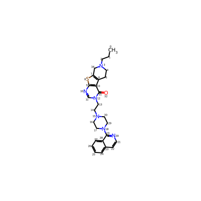 CCCN1CCc2c(sc3ncn(CCN4CCN(c5nccc6ccccc56)CC4)c(=O)c23)C1